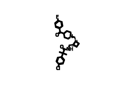 CC(C)(C(=O)NC[C@@H]1CC[C@H]1CN1CCC(C(=O)c2ccc(F)cc2)CC1)c1ccc(Cl)cc1